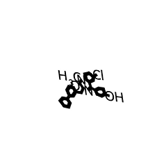 CN1C(=O)C(Cc2cccc(-c3ccccc3)c2)N=C(c2ccc(O)cc2)c2cc(Cl)ccc21